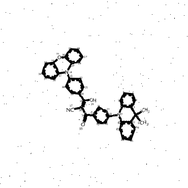 CC1(C)c2ccccc2N(c2ccc(C(=O)C(C#N)=C(O)c3ccc(N4c5ccccc5Oc5ccccc54)cc3)cc2)c2ccccc21